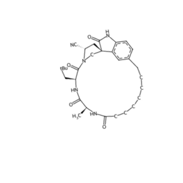 C[C@@H]1NC(=O)CCCCCCCc2ccc3c(c2)[C@@]2(C[C@@H](C#N)N(C2)C(=O)[C@H](CC(C)(C)C)NC1=O)C(=O)N3